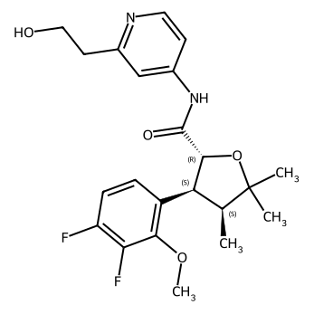 COc1c([C@H]2[C@H](C(=O)Nc3ccnc(CCO)c3)OC(C)(C)[C@H]2C)ccc(F)c1F